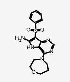 Nc1[nH]c2c(N3CCCOCC3)ncnc2c1S(=O)(=O)c1ccccc1